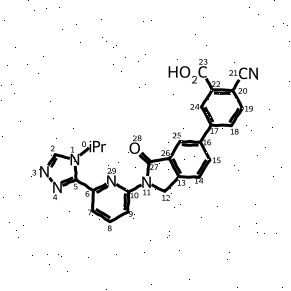 CC(C)n1cnnc1-c1cccc(N2Cc3ccc(-c4ccc(C#N)c(C(=O)O)c4)cc3C2=O)n1